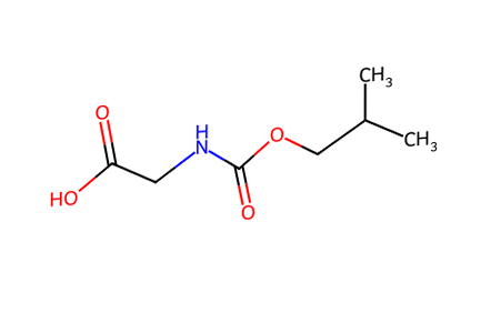 CC(C)COC(=O)NCC(=O)O